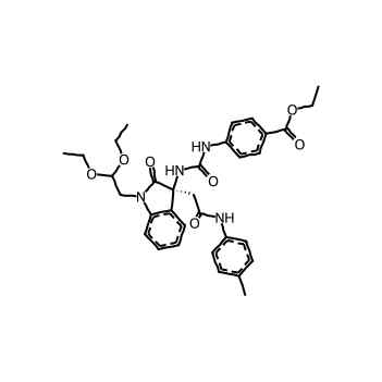 CCOC(=O)c1ccc(NC(=O)N[C@]2(CC(=O)Nc3ccc(C)cc3)C(=O)N(CC(OCC)OCC)c3ccccc32)cc1